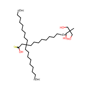 CC(CO)(CO)CO.CCCCCCCCCCCCCCCCCCC(CCCCCCCCCCCCCCCCCC)(CCCCCCCCCCCCCCCCCC)CC(O)=S